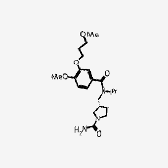 COCCCOc1cc(C(=O)N(C[C@@H]2[CH]CN(C(N)=O)C2)C(C)C)ccc1OC